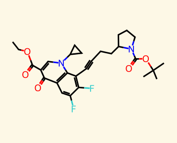 CCOC(=O)c1cn(C2CC2)c2c(C#CCCC3CCCN3C(=O)OC(C)(C)C)c(F)c(F)cc2c1=O